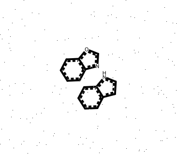 c1ccc2[nH]ccc2c1.c1ccc2ocnc2c1